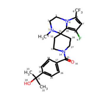 CN1CCn2c(C(F)(F)F)cc(F)c2C12CCN(C(=O)c1ccc(C(C)(C)O)cc1)CC2